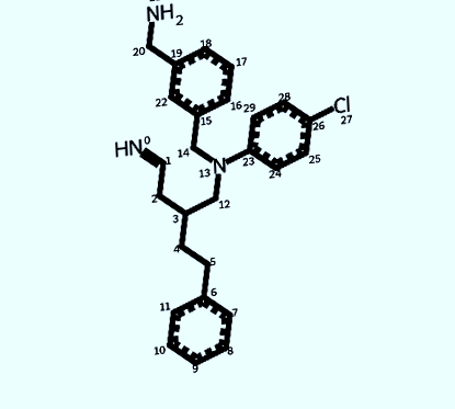 N=CCC(CCc1ccccc1)CN(Cc1cccc(CN)c1)c1ccc(Cl)cc1